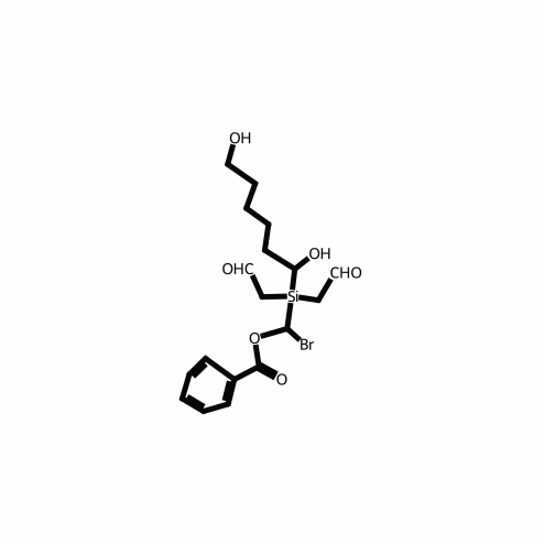 O=CC[Si](CC=O)(C(O)CCCCCO)C(Br)OC(=O)c1ccccc1